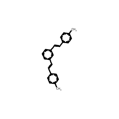 Cc1ccc(C=Cc2cccc(C=Cc3ccc(C)cc3)c2)cc1